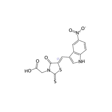 O=C(O)CN1C(=O)/C(=C/c2c[nH]c3ccc([N+](=O)[O-])cc23)SC1=S